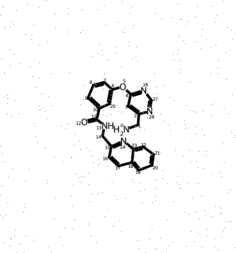 NCc1cc(Oc2cccc(C(=O)NCc3ccc4ccccc4n3)c2)ncn1